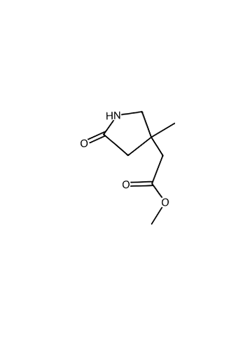 COC(=O)CC1(C)CNC(=O)C1